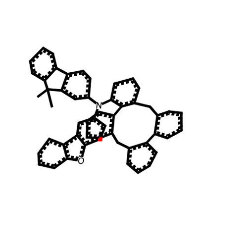 CC1(C)c2ccccc2-c2ccc(N(c3ccc4oc5ccccc5c4c3)c3cccc4c3-c3ccccc3Cc3ccccc3-c3ccccc3C4)cc21